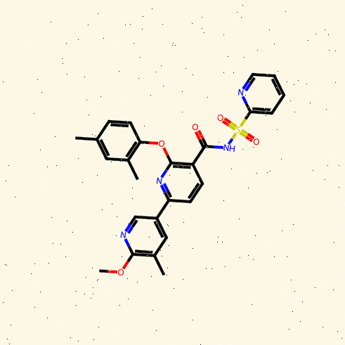 COc1ncc(-c2ccc(C(=O)NS(=O)(=O)c3ccccn3)c(Oc3ccc(C)cc3C)n2)cc1C